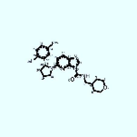 O=C(NCC1CCOCC1)n1cnc2ccc(N3CCC[C@@H]3c3cc(F)ccc3F)nc21